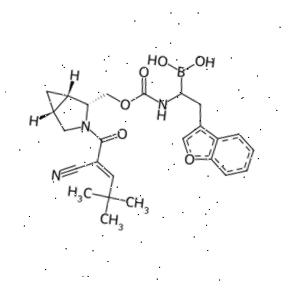 CC(C)(C)C=C(C#N)C(=O)N1C[C@@H]2C[C@@H]2[C@@H]1COC(=O)NC(Cc1coc2ccccc12)B(O)O